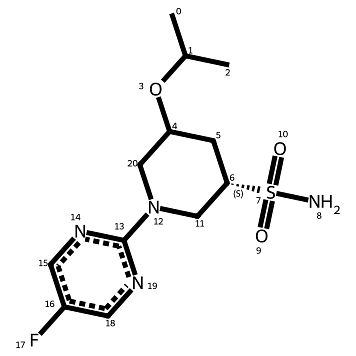 CC(C)OC1C[C@H](S(N)(=O)=O)CN(c2ncc(F)cn2)C1